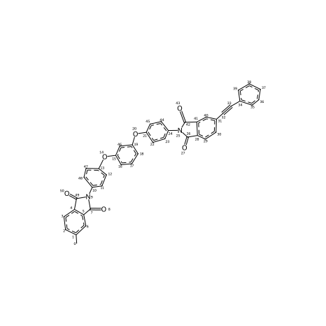 Cc1ccc2c(c1)C(=O)N(c1ccc(Oc3cccc(Oc4ccc(N5C(=O)c6ccc(C#Cc7ccccc7)cc6C5=O)cc4)c3)cc1)C2=O